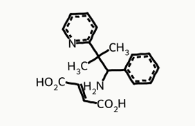 CC(C)(c1ccccn1)C(N)c1ccccc1.O=C(O)/C=C/C(=O)O